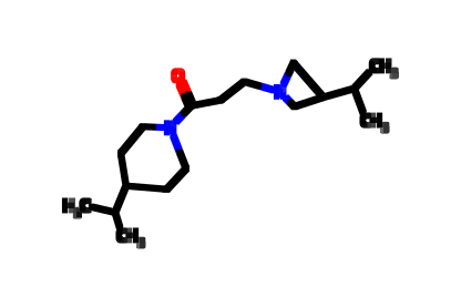 CC(C)C1CCN(C(=O)CCN2CC(C(C)C)C2)CC1